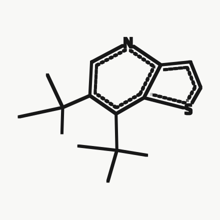 CC(C)(C)c1cnc2ccsc2c1C(C)(C)C